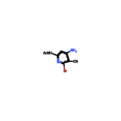 CC(=O)Nc1cc(N)c(C#N)c(Br)n1